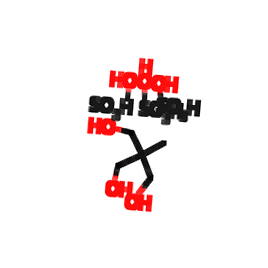 CC(CO)(CO)CO.O=S(=O)(O)O.O=S(=O)(O)O.O=S(=O)(O)O